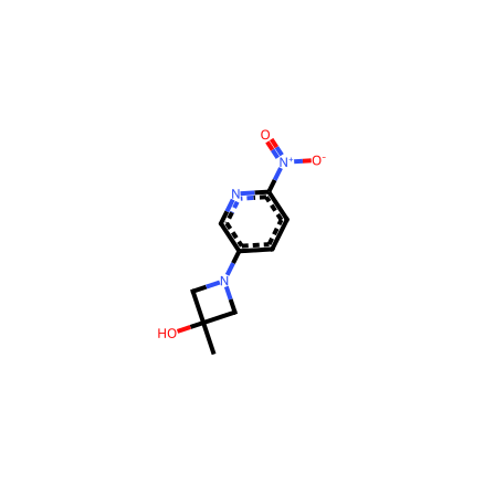 CC1(O)CN(c2ccc([N+](=O)[O-])nc2)C1